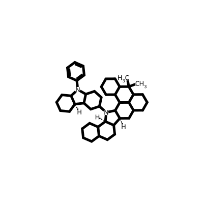 CC1(C)C2CCCCC2C2C3C(CCCC31)C[C@H]1C3CCC4CCCCC4[C@H]3N(C3CCC4C(C3)[C@H]3CCCCC3N4c3ccccc3)C21